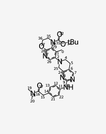 Cc1c(N2CCc3cnc(Nc4ccc(CC(=O)N(C)C)cc4)nc3C2)cnc2c1N(C(=O)OC(C)(C)C)CCO2